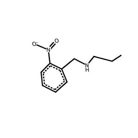 CCCNCc1ccccc1[N+](=O)[O-]